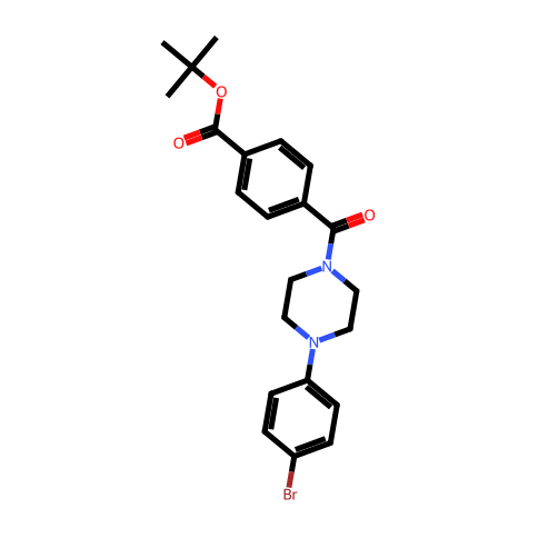 CC(C)(C)OC(=O)c1ccc(C(=O)N2CCN(c3ccc(Br)cc3)CC2)cc1